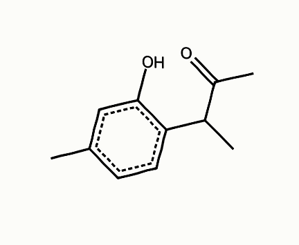 CC(=O)C(C)c1ccc(C)cc1O